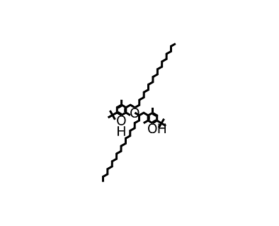 CCCCCCCCCCCCCCCCCC(Cc1c(C)cc(C(C)(C)C)c(O)c1C)OC(CCCCCCCCCCCCCCCCC)Cc1c(C)cc(C(C)(C)C)c(O)c1C